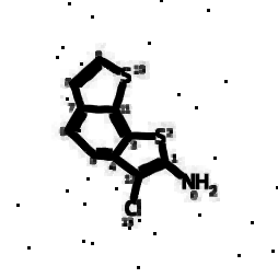 Nc1sc2c(ccc3ccsc32)c1Cl